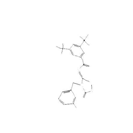 O=C(N=c1s[nH]c(=O)n1Cc1cccc(F)c1)c1cc(C(F)(F)F)cc(C(F)(F)F)c1